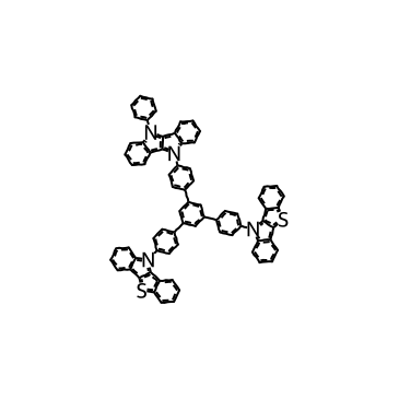 c1ccc(-n2c3ccccc3c3c2c2ccccc2n3-c2ccc(-c3cc(-c4ccc(-n5c6ccccc6c6sc7ccccc7c65)cc4)cc(-c4ccc(-n5c6ccccc6c6sc7ccccc7c65)cc4)c3)cc2)cc1